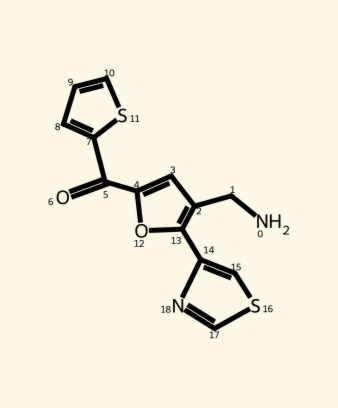 NCc1cc(C(=O)c2cccs2)oc1-c1cscn1